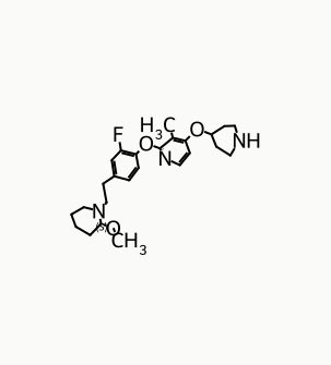 CO[C@H]1CCCCN1CCc1ccc(Oc2nccc(OC3CCNCC3)c2C)c(F)c1